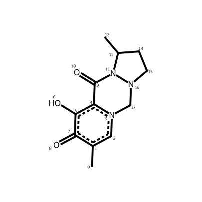 Cc1cn2c(c(O)c1=O)C(=O)N1C(C)CCN1C2